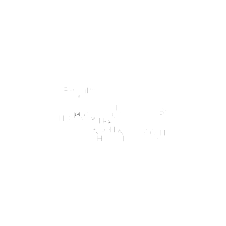 CC[C@H](CC[C@@H](C)[C@H]1CC[C@H]2[C@@H]3CC[C@H]4C[C@@H](C(CCBr)C(=O)O)CC[C@]4(C)[C@H]3CC[C@]12C)C(C)C